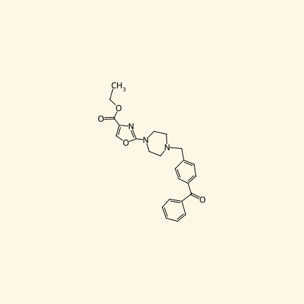 CCOC(=O)c1coc(N2CCN(Cc3ccc(C(=O)c4ccccc4)cc3)CC2)n1